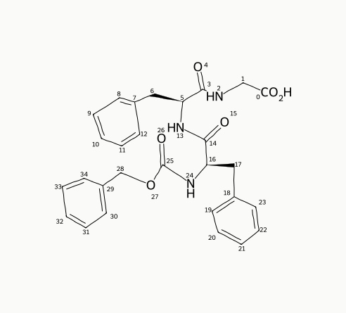 O=C(O)CNC(=O)[C@H](Cc1ccccc1)NC(=O)[C@@H](Cc1ccccc1)NC(=O)OCc1ccccc1